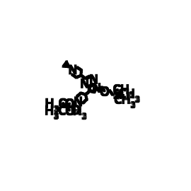 CC(C)(C)OC(=O)N1CCC(c2cn(COCC[Si](C)(C)C)c3ncc(C4CCN(C5CC5)CC4)nc23)CC1